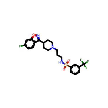 O=S(=O)(NCCCN1CCC(c2noc3cc(F)ccc23)CC1)c1cccc(C(F)(F)F)c1